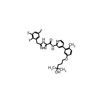 Cc1ccc(OCCCC(C)(C)O)cc1-c1ccnc(NC(=O)c2nnc(Cc3cc(F)cc(F)c3F)[nH]2)c1